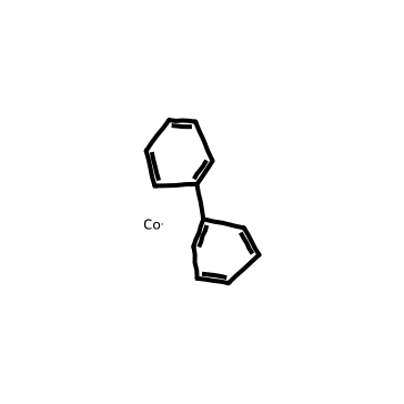 [Co].c1ccc(-c2ccccc2)cc1